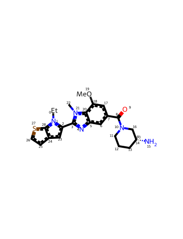 CCn1c(-c2nc3cc(C(=O)N4CCC[C@@H](N)C4)cc(OC)c3n2C)cc2ccsc21